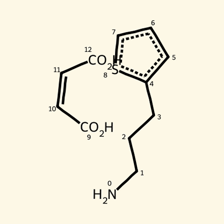 NCCCc1cccs1.O=C(O)/C=C\C(=O)O